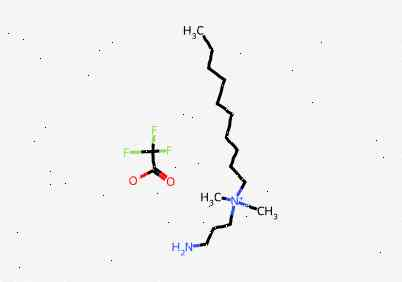 CCCCCCCCCC[N+](C)(C)CCCN.O=C([O-])C(F)(F)F